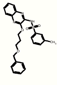 Cc1cccc(S(=O)(=O)Nc2nc3ccccc3nc2OCCCOCc2ccccc2)c1